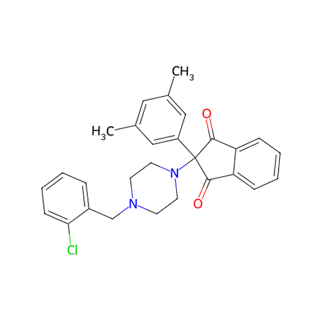 Cc1cc(C)cc(C2(N3CCN(Cc4ccccc4Cl)CC3)C(=O)c3ccccc3C2=O)c1